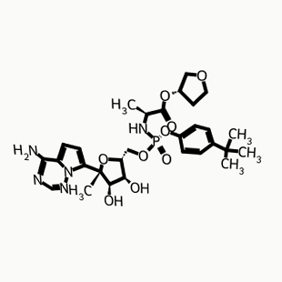 C[C@H](NP(=O)(OC[C@H]1O[C@@](C)(c2ccc3c(N)ncnn23)[C@H](O)[C@@H]1O)Oc1ccc(C(C)(C)C)cc1)C(=O)O[C@H]1CCOC1